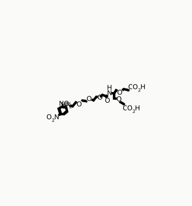 O=C(O)CCOCC(COCCC(=O)O)NC(=O)COCCOCCOCCNc1ccc([N+](=O)[O-])cc1[N+](=O)[O-]